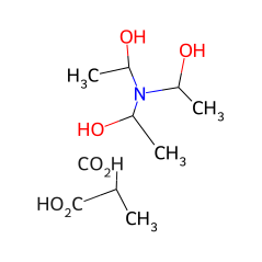 CC(C(=O)O)C(=O)O.CC(O)N(C(C)O)C(C)O